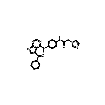 O=C(Cn1ccnc1)Nc1ccc(Nc2ncnc3[nH]cc(C(=O)c4ccccc4)c23)cc1